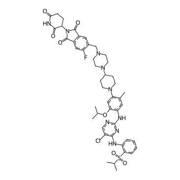 Cc1cc(Nc2ncc(Cl)c(Nc3ccccc3S(=O)(=O)C(C)C)n2)c(OC(C)C)cc1N1CCC(N2CCN(Cc3cc4c(cc3F)C(=O)N(C3CCC(=O)NC3=O)C4=O)CC2)CC1